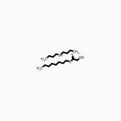 CCCCCCCCSC(=S)CO.CCC[CH2][Sn][CH2]CCC